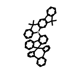 CC1(C)c2ccccc2-c2cc3c(cc21)N(c1cccc2c1-c1ccccc1C21c2ccccc2-c2ccccc2-c2ccccc21)c1ccccc1C3(C)C